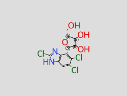 OC[C@H]1O[C@@H](c2c(Cl)c(Cl)cc3[nH]c(Cl)nc23)[C@H](O)[C@@H]1O